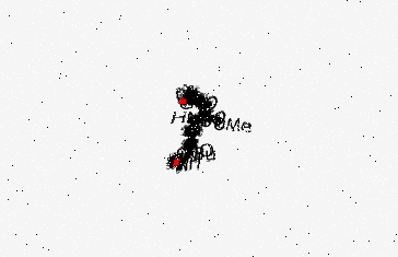 C=C(N/C=C(/c1ccc(-c2ccc(-c3c[nH]c([C@@H]4CN(C(=O)N5Cc6ccc7c(c6C5)OCO7)CN4C(=O)CNC(=O)OC)n3)cc2)cc1)C(C)CC)C1CCCN1C=O